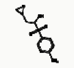 Cc1ccc(S(=O)(=O)C(O)CC2CO2)cc1